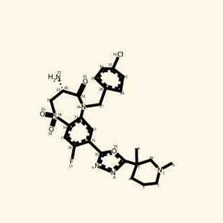 CN1CCCC(C)(c2nnc(-c3cc4c(cc3F)S(=O)(=O)C[C@H](N)C(=O)N4Cc3ccc(Cl)cc3)o2)C1